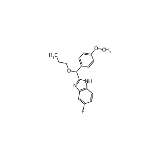 CCCOC(c1ccc(OC)cc1)c1nc2cc(F)ccc2[nH]1